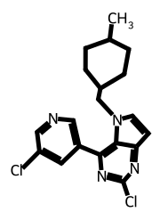 CC1CCC(Cn2ccc3nc(Cl)nc(-c4cncc(Cl)c4)c32)CC1